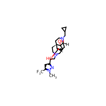 Cn1nc(CCN2CC[C@]34CCN(CC5CC5)[C@H](Cc5ccc(O)cc53)[C@]4(O)CC2)cc1C(F)(F)F